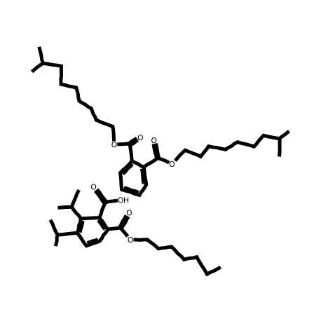 CC(C)CCCCCCCOC(=O)c1ccccc1C(=O)OCCCCCCCC(C)C.CCCCCCCOC(=O)c1ccc(C(C)C)c(C(C)C)c1C(=O)O